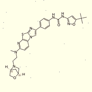 CN(CCN1C[C@@H]2C[C@H]1CO2)c1ccc2c(n1)sc1nc(-c3ccc(NC(=O)Nc4cc(C(C)(C)C)on4)cc3)cn12